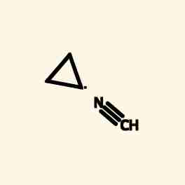 C#N.[CH]1CC1